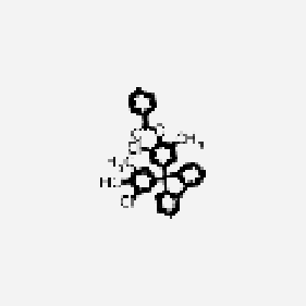 Cc1cc(C2(c3cc(C)c(OC(=O)c4ccccc4)c(Cl)c3)c3ccccc3-c3ccccc32)cc(Cl)c1O